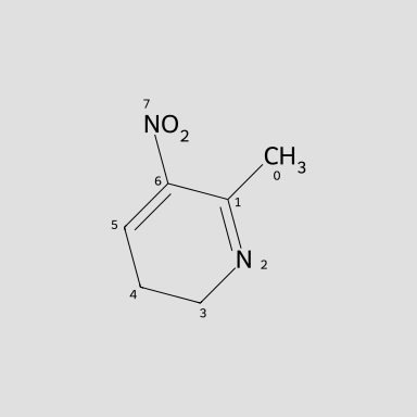 CC1=NCCC=C1[N+](=O)[O-]